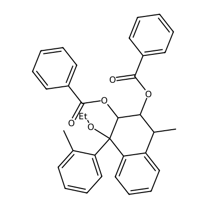 CCOC1(c2ccccc2C)c2ccccc2C(C)C(OC(=O)c2ccccc2)C1OC(=O)c1ccccc1